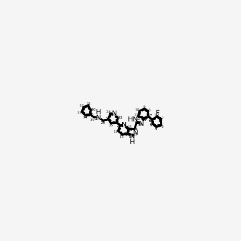 Fc1ccccc1-c1cccc2[nH]c(-c3n[nH]c4ccc(-c5cncc(CNCc6ccccc6)c5)nc34)nc12